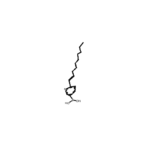 CCCCCCCCC=Cc1ccc(B(O)O)cn1